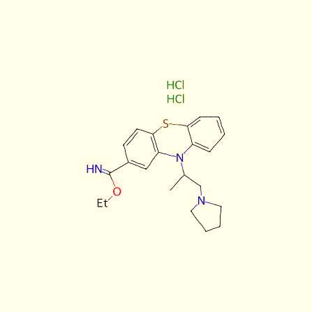 CCOC(=N)c1ccc2c(c1)N(C(C)CN1CCCC1)c1ccccc1S2.Cl.Cl